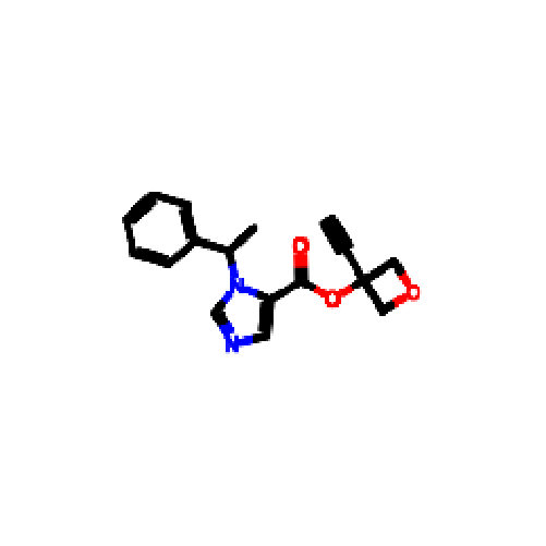 C#CC1(OC(=O)c2cncn2C(C)c2ccccc2)COC1